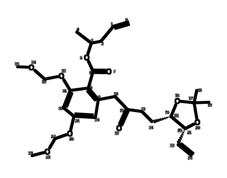 C=CCC(C)OC(=O)c1c(CC(=O)CC[C@@H]2OC(C)(C)O[C@@H]2C=C)cc(OCOC)cc1OCOC